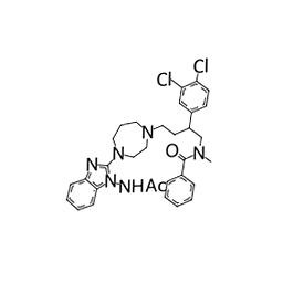 CC(=O)Nn1c(N2CCCN(CCC(CN(C)C(=O)c3ccccc3)c3ccc(Cl)c(Cl)c3)CC2)nc2ccccc21